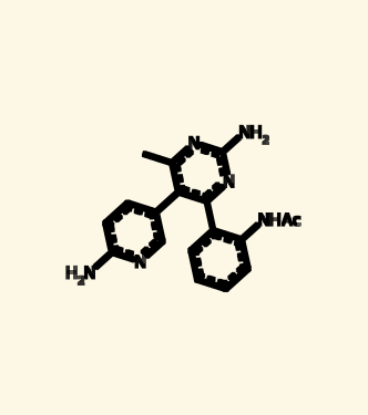 CC(=O)Nc1ccccc1-c1nc(N)nc(C)c1-c1ccc(N)nc1